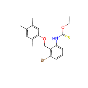 CCOC(=S)Nc1cccc(Br)c1COc1cc(C)c(C)cc1C